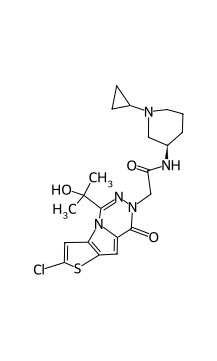 CC(C)(O)c1nn(CC(=O)N[C@@H]2CCCN(C3CC3)C2)c(=O)c2cc3sc(Cl)cc3n12